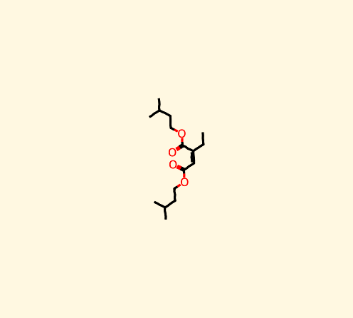 CC/C(=C/C(=O)OCCC(C)C)C(=O)OCCC(C)C